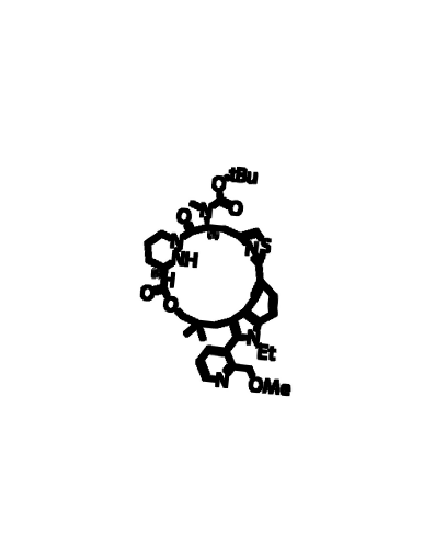 CCn1c(-c2cccnc2COC)c2c3cc(ccc31)-c1nc(cs1)C[C@H](N(C)C(=O)OC(C)(C)C)C(=O)N1CCC[C@H](N1)C(=O)OCC(C)(C)C2